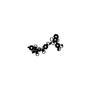 COc1ccc(-c2oc3ccccc3c(=O)c2OCCOc2ccc(C(=O)NCC(NS(=O)(=O)c3ccc(C)cc3)C(=O)C3CO3)cc2)cc1OC